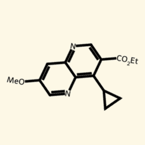 CCOC(=O)c1cnc2cc(OC)cnc2c1C1CC1